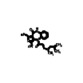 C=C(C)CN(C)CCC(=O)N1c2ccccc2NC(=O)c2c(CCC)sc(CCC)c21